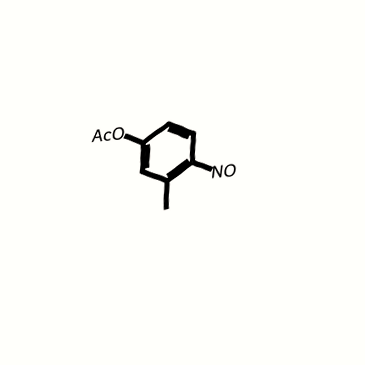 CC(=O)Oc1ccc(N=O)c(C)c1